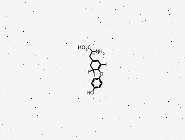 N[C@@H](CC1=CC(I)=C(Oc2ccc(O)cc2)C(I)(I)C1)C(=O)O